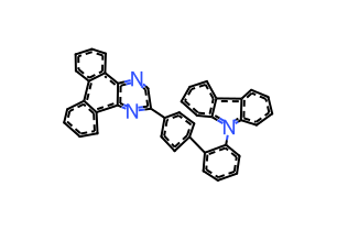 c1ccc(-n2c3ccccc3c3ccccc32)c(-c2ccc(-c3cnc4c5ccccc5c5ccccc5c4n3)cc2)c1